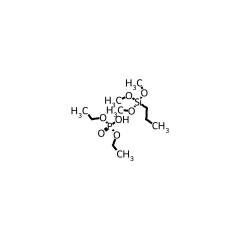 CCC[Si](OC)(OC)OC.CCOP(=O)(O)OCC